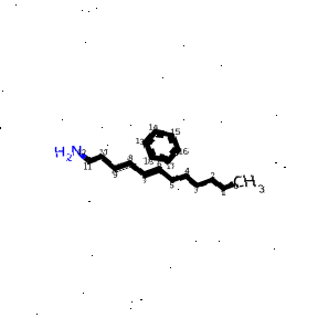 CCCCCCCCCCCCN.c1ccccc1